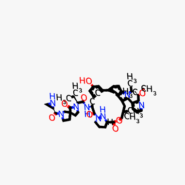 CCn1c(-c2cccnc2[C@H](C)OC)c2c3cc(ccc31)-c1cc(O)cc(c1)C[C@H](NC(=O)[C@H](C(C)C)N1CCC3(CCN(C(=O)[C@@H]4CN4)C3)C1=O)C(=O)N1CCC[C@H](N1)C(=O)OCC(C)(C)C2